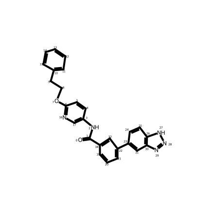 O=C(Nc1ccc(OCCc2ccccc2)nc1)c1cccc(-c2ccc3[nH]nnc3c2)c1